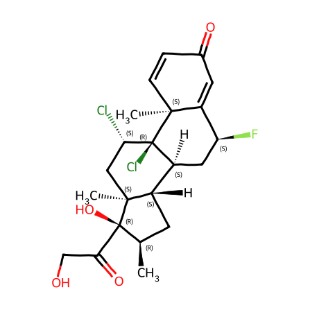 C[C@@H]1C[C@H]2[C@@H]3C[C@H](F)C4=CC(=O)C=C[C@]4(C)[C@@]3(Cl)[C@@H](Cl)C[C@]2(C)[C@@]1(O)C(=O)CO